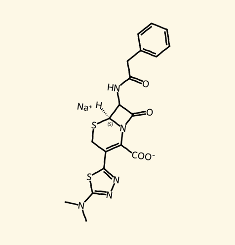 CN(C)c1nnc(C2=C(C(=O)[O-])N3C(=O)C(NC(=O)Cc4ccccc4)[C@@H]3SC2)s1.[Na+]